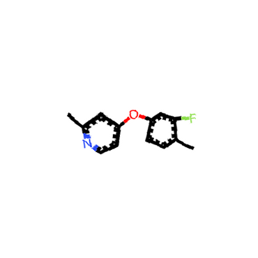 Cc1cc(Oc2ccc(C)c(F)c2)ccn1